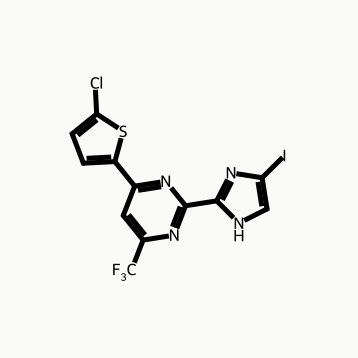 FC(F)(F)c1cc(-c2ccc(Cl)s2)nc(-c2nc(I)c[nH]2)n1